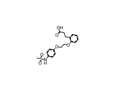 CS(=O)(=O)Nc1ccc(OCCOc2ccccc2CCC(=O)O)cc1